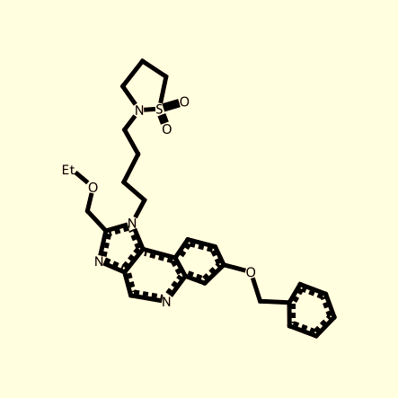 CCOCc1nc2cnc3cc(OCc4ccccc4)ccc3c2n1CCCCN1CCCS1(=O)=O